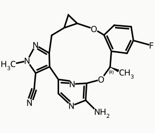 C[C@H]1Oc2nc(cnc2N)-c2c(nn(C)c2C#N)CC2CC2Oc2ccc(F)cc21